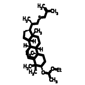 C=C(C)CSC[C@@H](C)[C@H]1CC[C@H]2[C@@H]3CC=C4C(C)(C)[C@@H](OC(C)OCC)CC[C@]4(C)[C@H]3CC[C@]12C